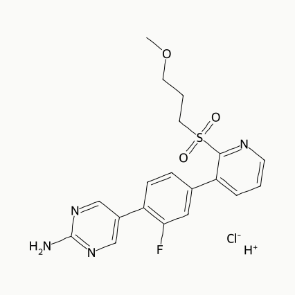 COCCCS(=O)(=O)c1ncccc1-c1ccc(-c2cnc(N)nc2)c(F)c1.[Cl-].[H+]